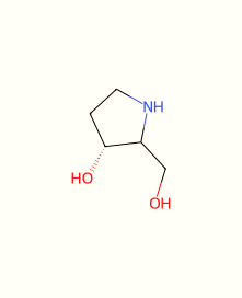 OCC1NCC[C@H]1O